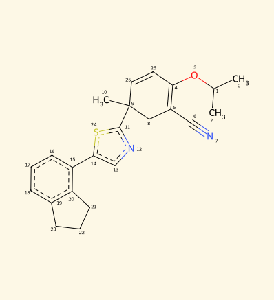 CC(C)OC1=C(C#N)CC(C)(c2ncc(-c3cccc4c3CCC4)s2)C=C1